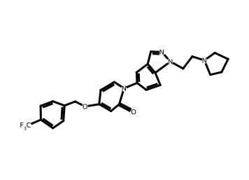 O=c1cc(OCc2ccc(C(F)(F)F)cc2)ccn1-c1ccc2c(cnn2CCN2CCCC2)c1